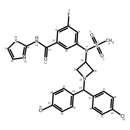 CS(=O)(=O)N(c1cc(F)cc(C(=O)Nc2nccs2)c1)C1CN(C(c2ccc(Cl)cc2)c2ccc(Cl)cc2)C1